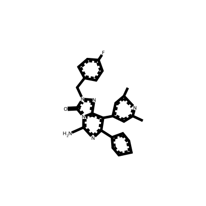 Cc1cc(-c2c(-c3ccccc3)nc(N)n3c(=O)n(Cc4ccc(F)cc4)nc23)cc(C)n1